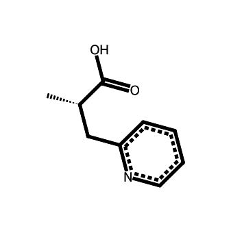 C[C@@H](Cc1ccccn1)C(=O)O